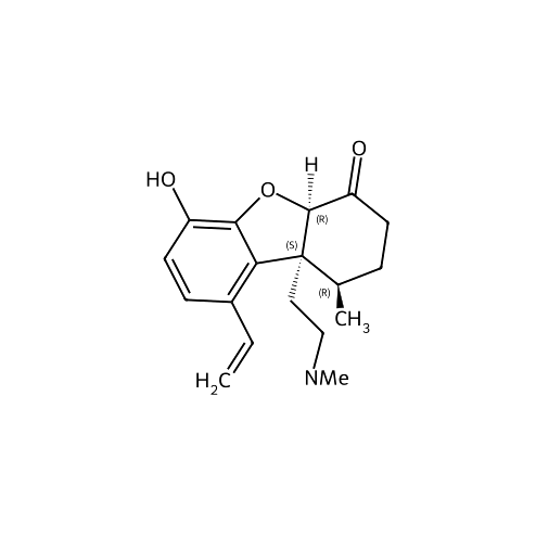 C=Cc1ccc(O)c2c1[C@]1(CCNC)[C@H](C)CCC(=O)[C@@H]1O2